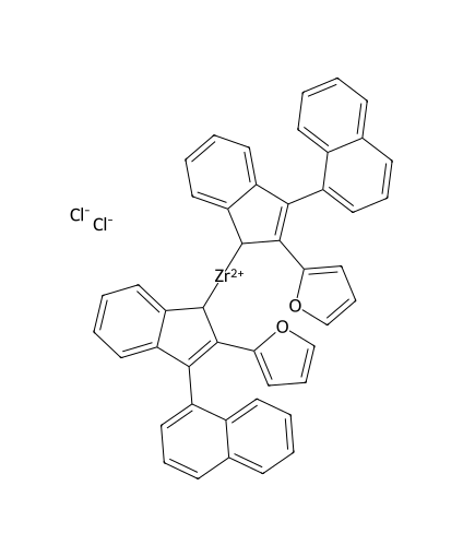 [Cl-].[Cl-].c1coc(C2=C(c3cccc4ccccc34)c3ccccc3[CH]2[Zr+2][CH]2C(c3ccco3)=C(c3cccc4ccccc34)c3ccccc32)c1